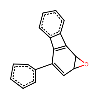 C1=C(c2ccccc2)C2=C(c3ccccc32)C2OC12